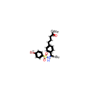 CCCCC(NS(=O)(=O)c1ccc(Br)cc1)c1ccc(CCCC(=O)OC)cc1